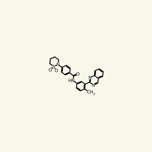 Cc1ccc(NC(=O)c2ccc(N3CCCCS3(=O)=O)cc2)cc1-c1ncc2ccccc2n1